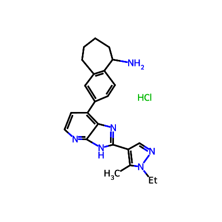 CCn1ncc(-c2nc3c(-c4ccc5c(c4)CCCCC5N)ccnc3[nH]2)c1C.Cl